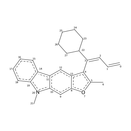 C=C/C=C(\c1c(C)oc2cc3c(cc12)c1ccccc1n3C)C1CCCCC1